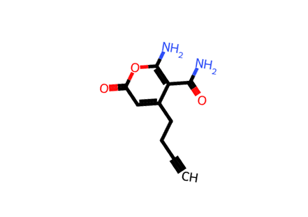 C#CCCc1cc(=O)oc(N)c1C(N)=O